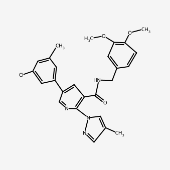 COc1ccc(CNC(=O)c2cc(-c3cc(C)cc(Cl)c3)cnc2-n2cc(C)cn2)cc1OC